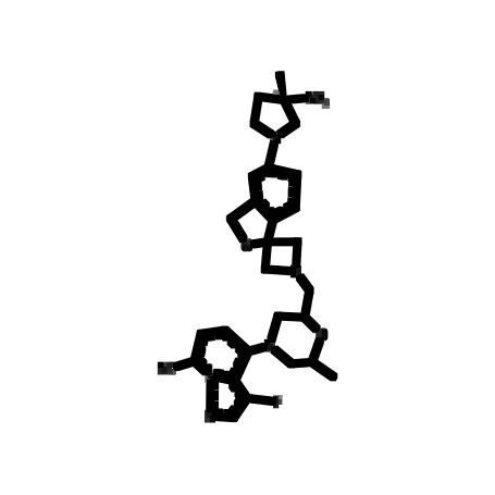 CC1CN(c2ccc(C#N)n3ncc(F)c23)CC(CN2CC3(C2)OCc2cc(N4CC[C@](C)(N)C4)ccc23)O1